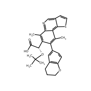 Cc1c([C@H](OC(C)(C)C)C(=O)O)c(-c2ccc3c(c2)CCCO3)c(C)c2c1ncc1ccsc12